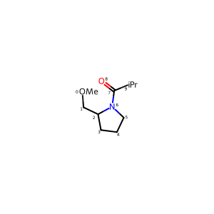 COCC1CCCN1C(=O)C(C)C